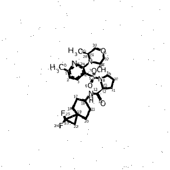 Cc1ccc(S(=O)(=O)N2CCC[C@H]2C(=O)NC2CCC3(CC2)CC3(F)F)c(N2[C@@H](C)COC[C@@H]2C)n1